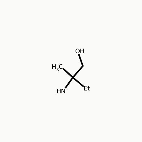 CCC(C)([NH])CO